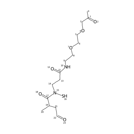 CC(=O)COCCOCCNC(=O)CCN(S)C(=O)C(C)CC=O